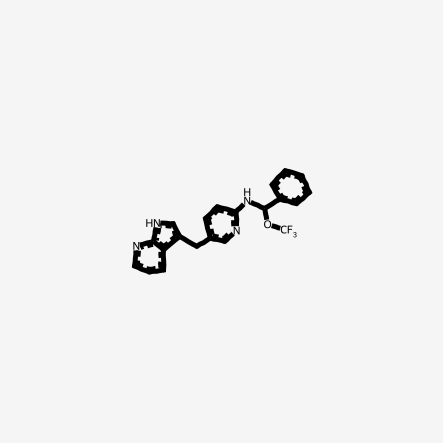 FC(F)(F)OC(Nc1ccc(Cc2c[nH]c3ncccc23)cn1)c1ccccc1